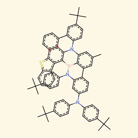 Cc1cc2c3c(c1)N(c1ccc(C(C)(C)C)cc1-c1ccccc1)c1ccc4sc5ccccc5c4c1B3N(c1ccc(C(C)(C)C)cc1)c1cc(N(c3ccc(C(C)(C)C)cc3)c3ccc(C(C)(C)C)cc3)ccc1-2